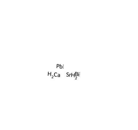 [Bi].[CaH2].[Pb].[SrH2]